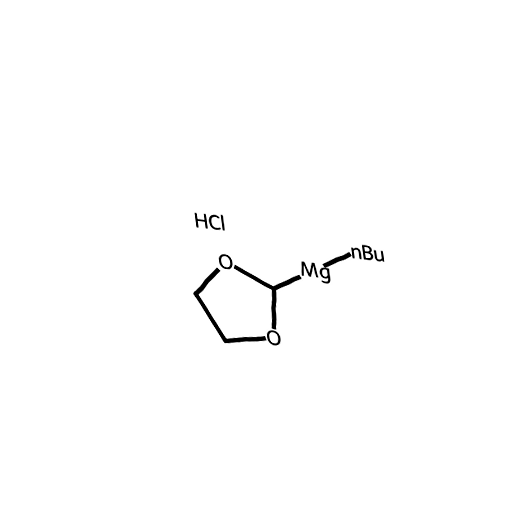 CCC[CH2][Mg][CH]1OCCO1.Cl